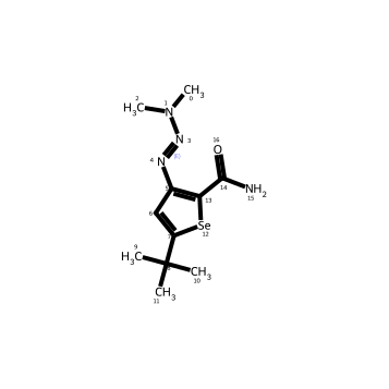 CN(C)/N=N/c1cc(C(C)(C)C)[se]c1C(N)=O